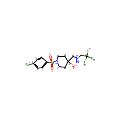 O=S(=O)(c1ccc(Br)cc1)N1CCC(O)(CNCC(F)(F)F)CC1